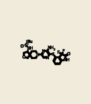 CC(C)(C)[S@@+]([O-])N[C@@H]1COCC12CCN(c1cnc(Sc3cccc4c3C(F)(F)C(=O)N4)c(N)n1)CC2